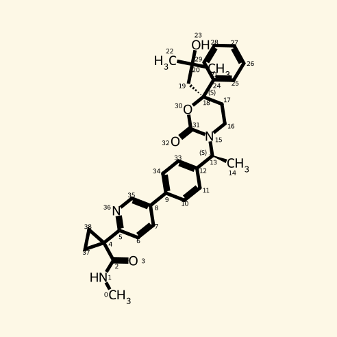 CNC(=O)C1(c2ccc(-c3ccc([C@H](C)N4CC[C@](CC(C)(C)O)(c5ccccc5)OC4=O)cc3)cn2)CC1